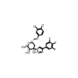 O[C@H]1[C@@H](S)O[C@H](COc2ccc(Cl)c(Cl)c2)C[C@@]1(O)n1cc(-c2cc(F)c(F)c(F)c2)nn1